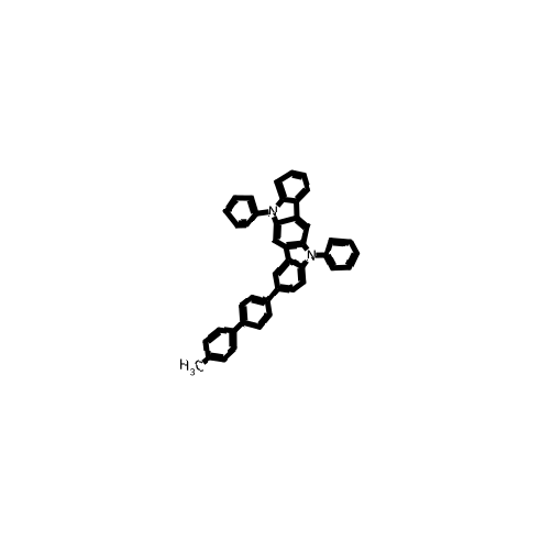 Cc1ccc(-c2ccc(-c3ccc4c(c3)c3cc5c(cc3n4-c3ccccc3)c3ccccc3n5-c3ccccc3)cc2)cc1